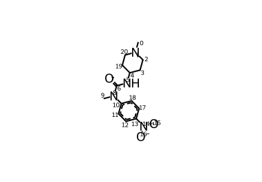 CN1CCC(NC(=O)N(C)c2ccc([N+](=O)[O-])cc2)CC1